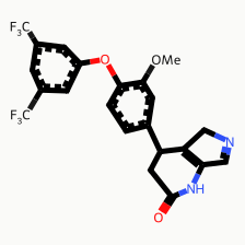 COc1cc(C2CC(=O)NC3=C2CN=C3)ccc1Oc1cc(C(F)(F)F)cc(C(F)(F)F)c1